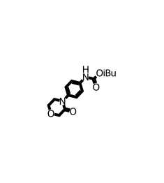 CC(C)COC(=O)Nc1ccc(N2CCOCC2=O)cc1